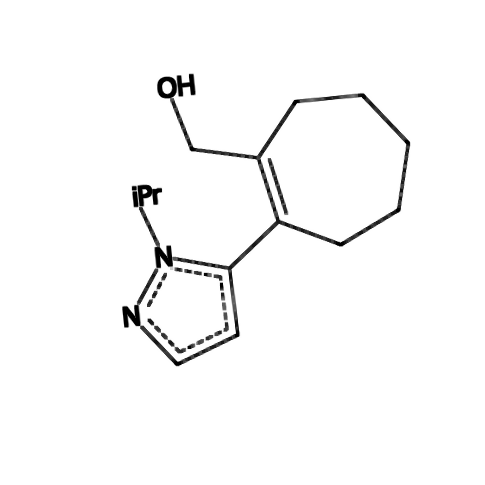 CC(C)n1nccc1C1=C(CO)CCCCC1